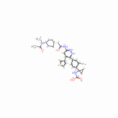 CC(=O)N(C)[C@H]1CC[C@H](CC(=O)Nc2cc(-c3ccsc3)c(-c3ccc(C4(NC(=O)O)CC4)c(F)c3)nn2)CC1